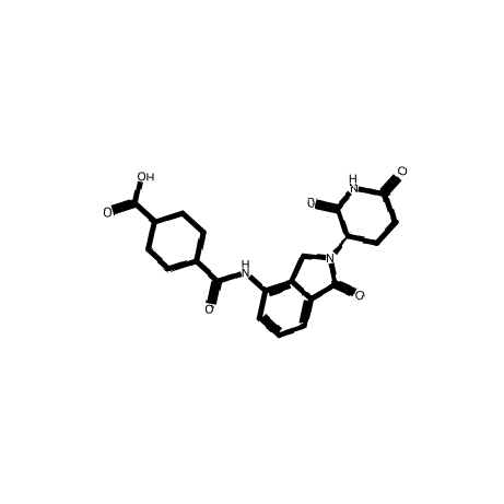 O=C1CC[C@@H](N2Cc3c(NC(=O)C4CCC(C(=O)O)CC4)cccc3C2=O)C(=O)N1